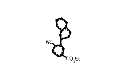 CCOC(=O)c1ccc(C#N)c(-c2ccc3ccccc3c2)c1